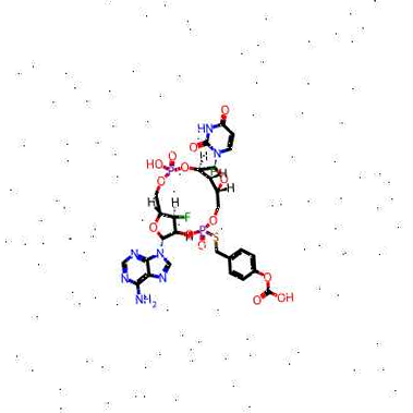 Nc1ncnc2c1ncn2[C@@H]1O[C@@H]2COP(=O)(O)O[C@@H]3[C@H](F)[C@@H](COP(=O)(SCc4ccc(OC(=O)O)cc4)O[C@@H]1[C@@H]2F)O[C@H]3n1ccc(=O)[nH]c1=O